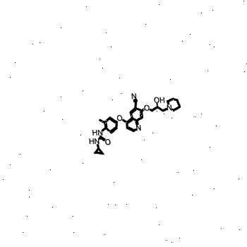 Cc1cc(Oc2ccnc3cc(OC[C@@H](O)CN4CCCCC4)c(C#N)cc23)ccc1NC(=O)NC1CC1